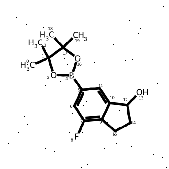 CC1(C)OB(c2cc(F)c3c(c2)C(O)CC3)OC1(C)C